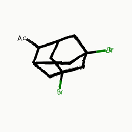 CC(=O)C1C2CC3(Br)CC1CC(Br)(C2)C3